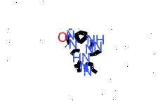 Cc1cc(Nc2ccnc(Nc3ccc4c(c3)N(C(C)C)[C@H](C)C(=O)N4C)n2)n(C(C)(C)C)n1